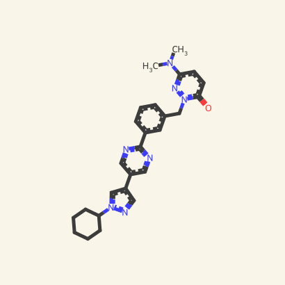 CN(C)c1ccc(=O)n(Cc2cccc(-c3ncc(-c4cnn(C5CCCCC5)c4)cn3)c2)n1